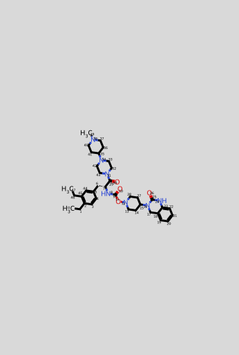 CCc1ccc(C[C@@H](NC(=O)ON2CCC(N3Cc4ccccc4NC3=O)CC2)C(=O)N2CCN(C3CCN(C)CC3)CC2)cc1CC